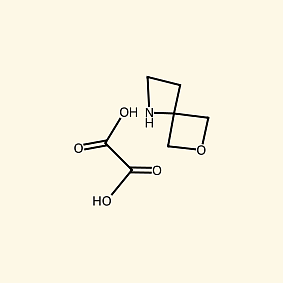 C1CC2(COC2)N1.O=C(O)C(=O)O